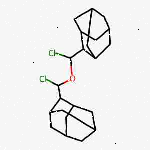 ClC(OC(Cl)C1C2CC3CC(C2)CC1C3)C1C2CC3CC(C2)CC1C3